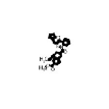 CCC#CCC(Cc1ccc(C(=O)OC)cc1)C(=O)N(F)c1ccccc1-c1ccc2cccc-2o1